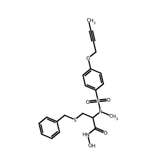 CC#CCOc1ccc(S(=O)(=O)N(C)C(CSCc2ccccc2)C(=O)NO)cc1